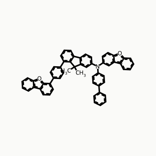 CC1(C)c2cc(N(c3ccc(-c4ccccc4)cc3)c3ccc4oc5ccccc5c4c3)ccc2-c2cccc(-c3ccc(-c4cccc5c4oc4ccccc45)cc3)c21